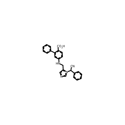 N#CC(c1ccccc1)n1cncc1CNc1ccc(C(=O)O)c(-c2ccccc2)c1